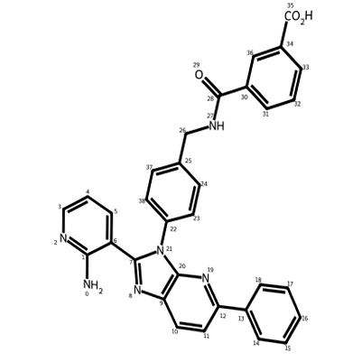 Nc1ncccc1-c1nc2ccc(-c3ccccc3)nc2n1-c1ccc(CNC(=O)c2cccc(C(=O)O)c2)cc1